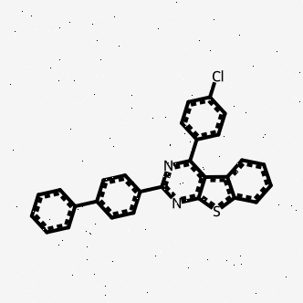 Clc1ccc(-c2nc(-c3ccc(-c4ccccc4)cc3)nc3sc4ccccc4c23)cc1